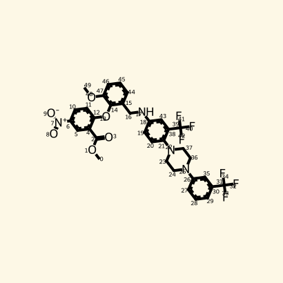 COC(=O)c1cc([N+](=O)[O-])ccc1Oc1c(CNc2ccc(N3CCN(c4cccc(C(F)(F)F)c4)CC3)c(C(F)(F)F)c2)cccc1OC